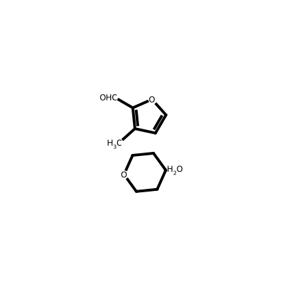 C1CCOCC1.Cc1ccoc1C=O.O